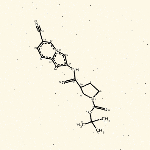 CC(C)(C)OC(=O)N1CCC(C(=O)Nc2cn3cc(C#N)ccc3n2)C1